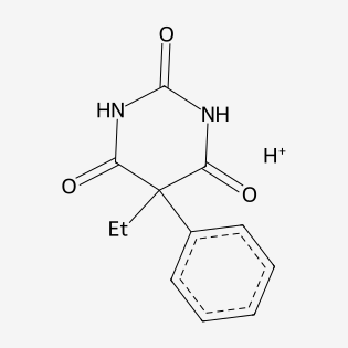 CCC1(c2ccccc2)C(=O)NC(=O)NC1=O.[H+]